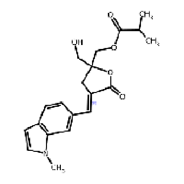 CC(C)C(=O)OCC1(CO)C/C(=C\c2ccc3ccn(C)c3c2)C(=O)O1